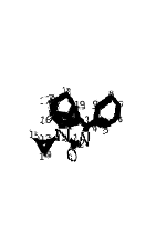 O=c1nc(-c2ccccc2)c2c(n1C1CC1)C1CCC2C1